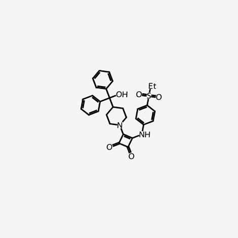 CCS(=O)(=O)c1ccc(Nc2c(N3CCC(C(O)(c4ccccc4)c4ccccc4)CC3)c(=O)c2=O)cc1